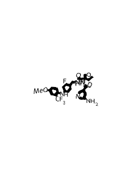 COc1ccc(Nc2ccc(CNC(=O)[C@]3(NC(=O)c4cncc(N)c4)CCOC3)c(F)c2)c(C(F)(F)F)c1